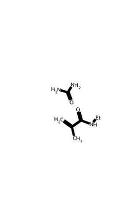 C=C(C)C(=O)NCC.NC(N)=O